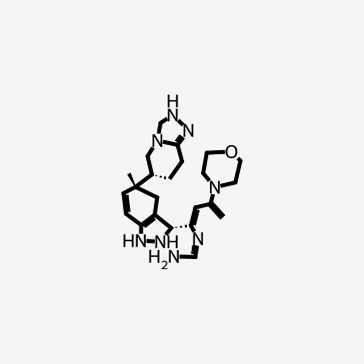 C=C(/C=C(\N=C/N)[C@@H]1NNC2=C1C[C@@](C)([C@H]1CCC3=NNCN3C1)C=C2)N1CCOCC1